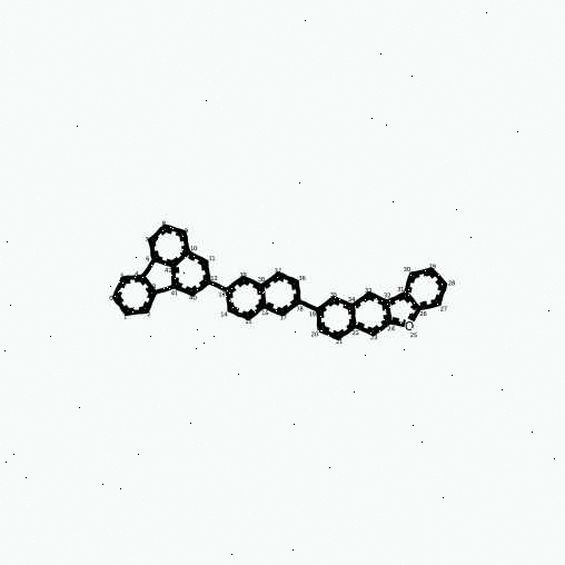 c1ccc2c(c1)-c1cccc3cc(-c4ccc5cc(-c6ccc7cc8oc9ccccc9c8cc7c6)ccc5c4)cc-2c13